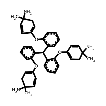 CC1(N)C=CC(Oc2ccccc2C(c2ccccc2OC2=CCC(C)(N)C=C2)c2ccccc2OC2=CCC(C)(N)C=C2)=CC1